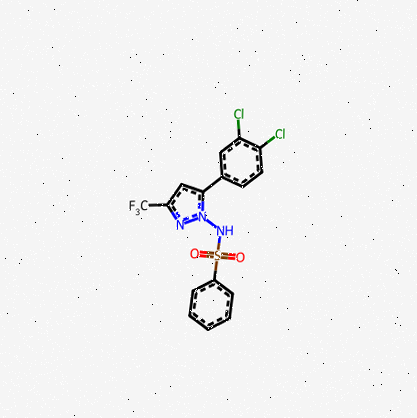 O=S(=O)(Nn1nc(C(F)(F)F)cc1-c1ccc(Cl)c(Cl)c1)c1ccccc1